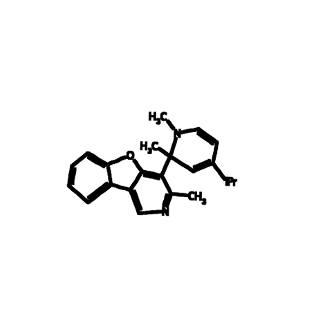 Cc1ncc2c(oc3ccccc32)c1C1(C)C=C(C(C)C)C=CN1C